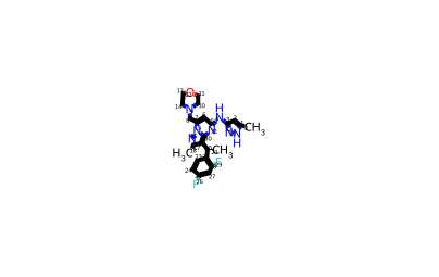 Cc1cc(Nc2cc(CN3CCOCC3)n3nc(C)c([C@H](C)c4ccc(F)cc4F)c3n2)n[nH]1